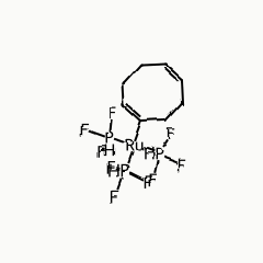 F[PH](F)(F)[Ru]([C]1=CCCC=CCC1)([PH](F)(F)F)[PH](F)(F)F